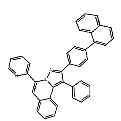 c1ccc(-c2c(-c3ccc(-c4cccc5ccccc45)cc3)nn3c(-c4ccccn4)cc4ccccc4c23)cc1